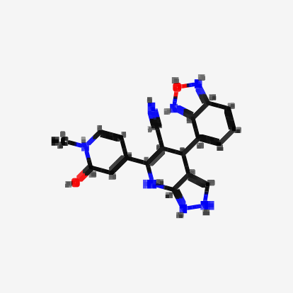 Cn1ccc(C2=C(C#N)C(c3cccc4nonc34)c3c[nH]nc3N2)cc1=O